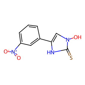 O=[N+]([O-])c1cccc(-c2cn(O)c(=S)[nH]2)c1